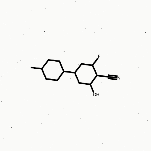 CC1CCC(C2CC(O)C(C#N)C(F)C2)CC1